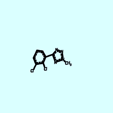 Cn1nnc(-c2cccc(Cl)c2Cl)n1